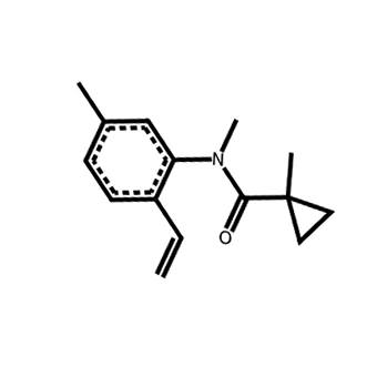 C=Cc1ccc(C)cc1N(C)C(=O)C1(C)CC1